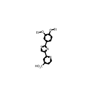 CCOc1ccc(-c2nc(-c3cc(C(=O)O)ccn3)cs2)cc1OCC